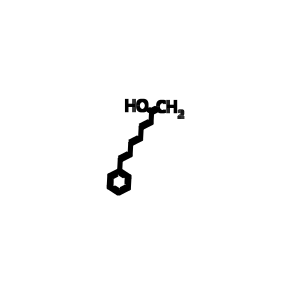 C=C(O)/C=C/C=C/C=C/c1ccccc1